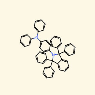 c1ccc(N(c2ccccc2)c2ccc(N3C(c4ccccc4)(c4ccccc4)c4ccccc4C3(c3ccccc3)c3ccccc3)cc2)cc1